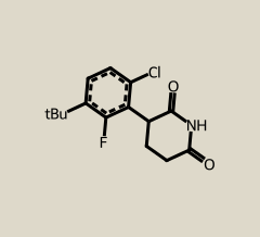 CC(C)(C)c1ccc(Cl)c(C2CCC(=O)NC2=O)c1F